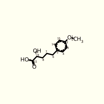 COc1ccc(CCC[C@@H](O)C(=O)O)cc1